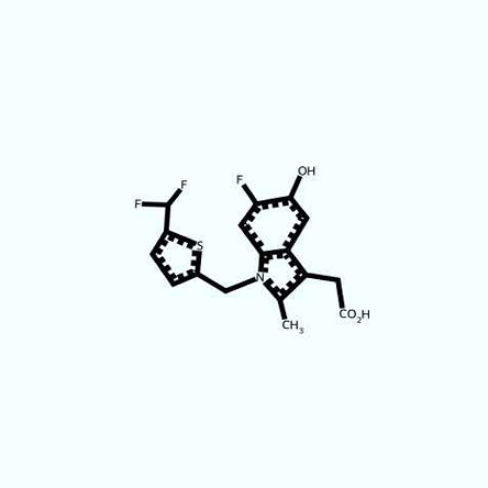 Cc1c(CC(=O)O)c2cc(O)c(F)cc2n1Cc1ccc(C(F)F)s1